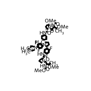 COC(=O)N[C@H](C(=O)N1CCC[C@H]1C(=O)NC1=CCC(C)([C@@H]2CC[C@@H](c3cc4[nH]c([C@@H]5CCCN5C(=O)[C@@H](NC(=O)OC)[C@@H](C)OC)nc4cc3F)N2c2cc(F)c(N3CC[Si](C)(C)CC3)c(F)c2)C=C1)[C@@H](C)OC